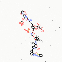 Cc1c(-c2ccc(-c3ccc4cccc(C(=O)Nc5nc6ccccc6s5)c4c3)nc2C(=O)O)cnn1CC12CC3(C)CC(C)(C1)CC(OCCN(CCS(=O)(=O)O)C(=O)OCc1ccc(CCCCNC(=O)CN4C(=O)[C@@H](N5C(=O)C=CC5=O)C[C@H]4COCCS(=O)(=O)O)cc1O[C@@H]1O[C@H](C(=O)O)C[C@H](O)[C@H]1O)(C3)C2